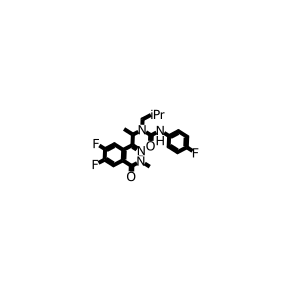 CC(C)CN(C(=O)Nc1ccc(F)cc1)C(C)c1nn(C)c(=O)c2cc(F)c(F)cc12